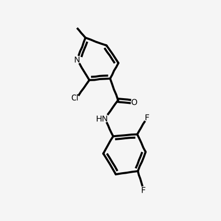 Cc1ccc(C(=O)Nc2ccc(F)cc2F)c(Cl)n1